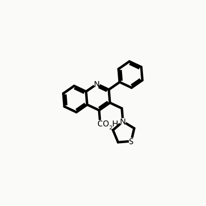 O=C(O)c1c(CN2CCSC2)c(-c2ccccc2)nc2ccccc12